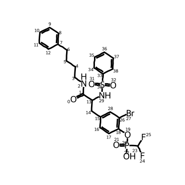 O=C(NCCCCc1ccccc1)C(Cc1ccc(OP(=O)(O)C(F)F)c(Br)c1)NS(=O)(=O)c1ccccc1